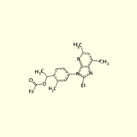 CCC(=O)OC(C)c1ccc(-n2c(CC)nc3c(C)cc(C)nc32)cc1C